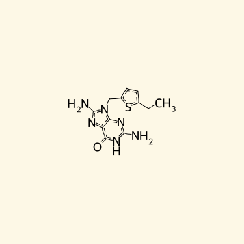 CCc1ccc(Cn2c(N)nc3c(=O)[nH]c(N)nc32)s1